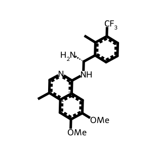 COc1cc2c(C)cnc(N[C@H](N)c3cccc(C(F)(F)F)c3C)c2cc1OC